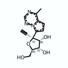 C#C[C@@]1(c2ccc3c(C)ncnn23)O[C@H](CO)[C@@H](O)[C@H]1O